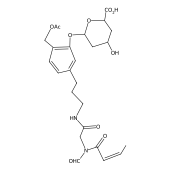 C/C=C\C(=O)N(C=O)CC(=O)NCCCc1ccc(COC(C)=O)c(OC2CC(O)CC(C(=O)O)O2)c1